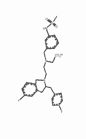 CS(=O)(=O)Nc1cccc(CN(CCN2Cc3ccc(F)cc3CC2Cc2ccc(F)cc2)CC(=O)O)c1